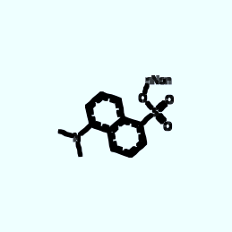 CCCCCCCCCOS(=O)(=O)c1cccc2c(N(C)C)cccc12